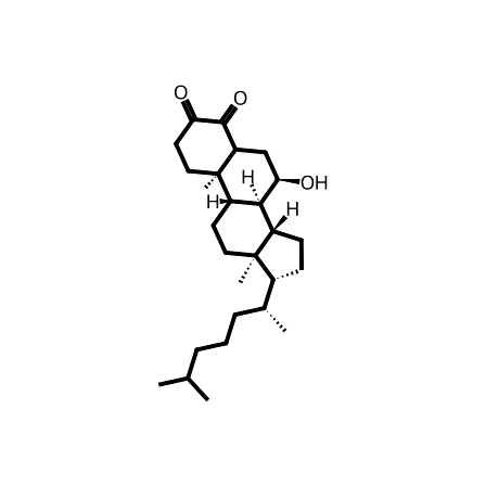 CC(C)CCC[C@@H](C)[C@H]1CC[C@H]2[C@@H]3[C@H](O)CC4C(=O)C(=O)CC[C@]4(C)[C@H]3CC[C@]12C